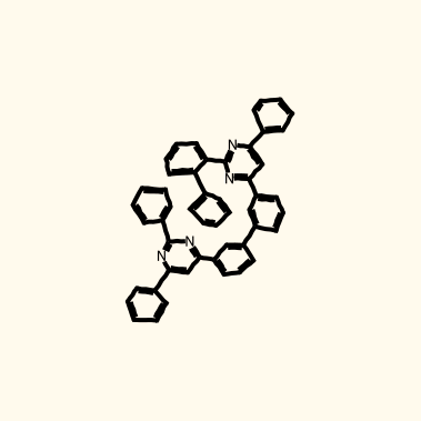 c1ccc(-c2cc(-c3cccc(-c4cccc(-c5cc(-c6ccccc6)nc(-c6ccccc6-c6ccccc6)n5)c4)c3)nc(-c3ccccc3)n2)cc1